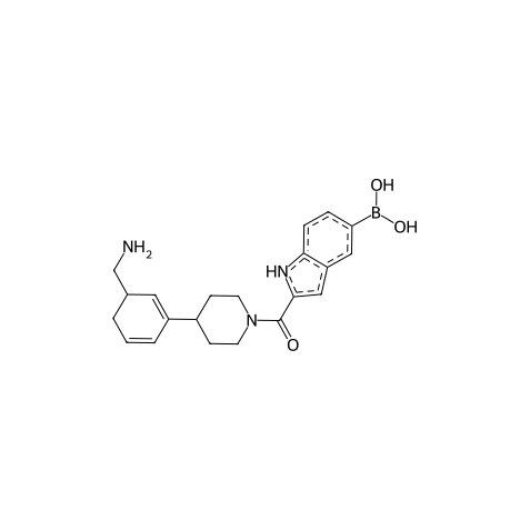 NCC1C=C(C2CCN(C(=O)c3cc4cc(B(O)O)ccc4[nH]3)CC2)C=CC1